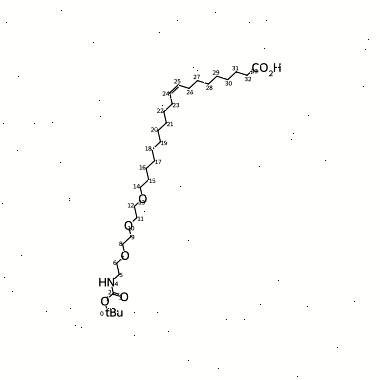 CC(C)(C)OC(=O)NCCOCCOCCOCCCCCCCCCC/C=C\CCCCCCCC(=O)O